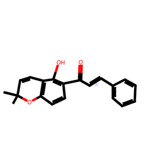 CC1(C)C=Cc2c(ccc(C(=O)/C=C/c3ccccc3)c2O)O1